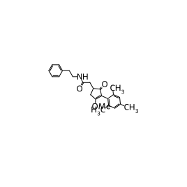 COC1=C(c2c(C)cc(C)cc2C)C(=O)C(CC(=O)NCCc2ccccc2)C1